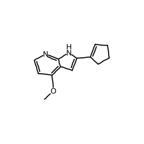 COc1ccnc2[nH]c(C3=CCCC3)cc12